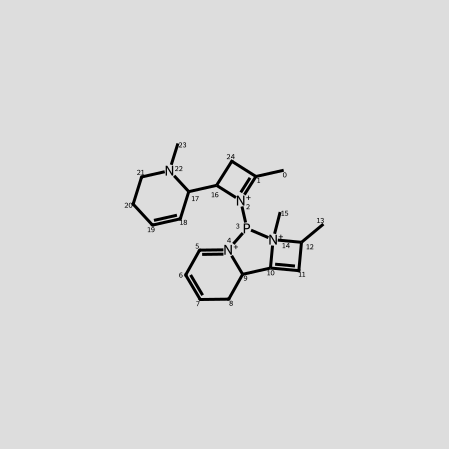 CC1=[N+](P2[N+]3=CC=CCC3C3=CC(C)[N+]32C)C(C2C=CCCN2C)C1